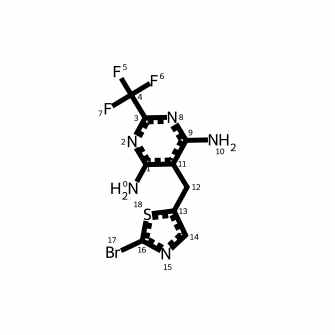 Nc1nc(C(F)(F)F)nc(N)c1Cc1cnc(Br)s1